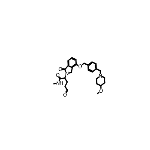 CNC(=O)C(CCC=O)N1Cc2c(OCc3ccc(CN4CCC(OC)CC4)cc3)cccc2C1=O